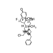 C[C@]12C=CC(=O)C=C1[C@@H](F)CC1[C@@H]3C[C@H]4CN(Cc5ccccc5)C[C@@]4(C(=O)OCCl)[C@@]3(C)C[C@H](O)[C@@]12F